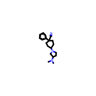 CN(C)C1CCN(C2CCC(C#N)(c3ccccc3)CC2)C1